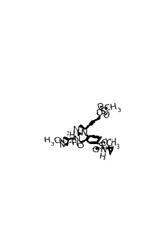 [2H]C([2H])(c1cnn(C)c1)N1C(=O)c2cc(S(=O)(=O)NC3(C)CC3)ccc2N2C1=NCC2C#CCOS(C)(=O)=O